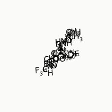 CC[C@H](NS(=O)(=O)c1ccc(-c2sc(C(=O)NNC(=O)CC(C)(C)O)nc2C(=O)N2CCC(F)CC2)c(Cl)c1Cl)C(F)(F)F